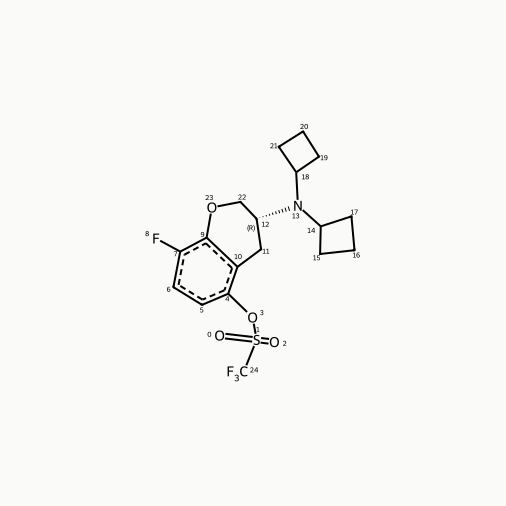 O=S(=O)(Oc1ccc(F)c2c1C[C@@H](N(C1CCC1)C1CCC1)CO2)C(F)(F)F